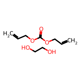 C=CCOC(=O)OCC=C.OCCO